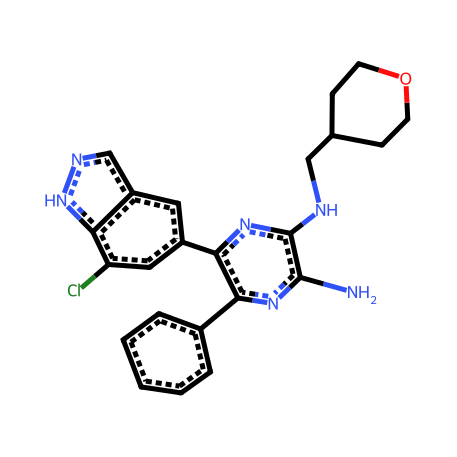 Nc1nc(-c2ccccc2)c(-c2cc(Cl)c3[nH]ncc3c2)nc1NCC1CCOCC1